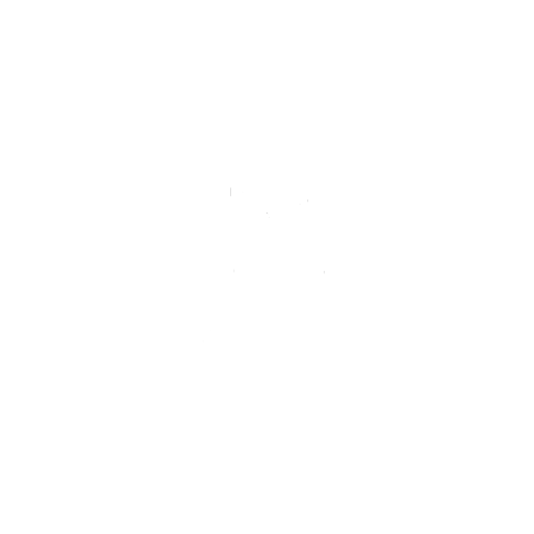 Cc1cc(O)c(C(=O)O)o1